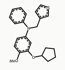 COc1ccc(N(Cc2ccsc2)c2ccccc2)cc1OC1CCCC1